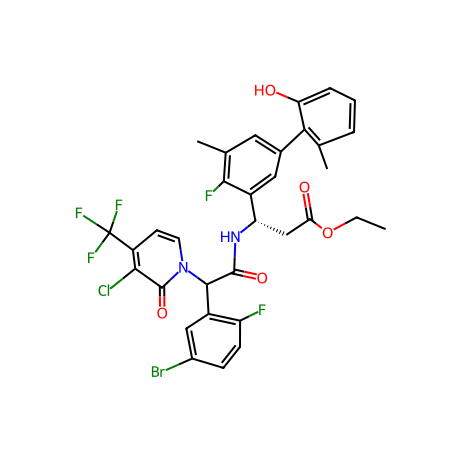 CCOC(=O)C[C@H](NC(=O)C(c1cc(Br)ccc1F)n1ccc(C(F)(F)F)c(Cl)c1=O)c1cc(-c2c(C)cccc2O)cc(C)c1F